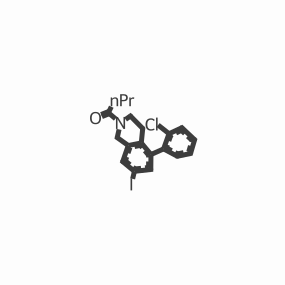 CCCC(=O)N1CCc2c(cc(I)cc2-c2ccccc2Cl)C1